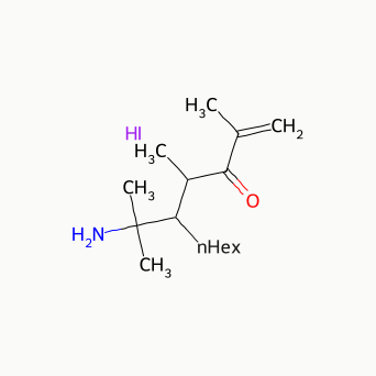 C=C(C)C(=O)C(C)C(CCCCCC)C(C)(C)N.I